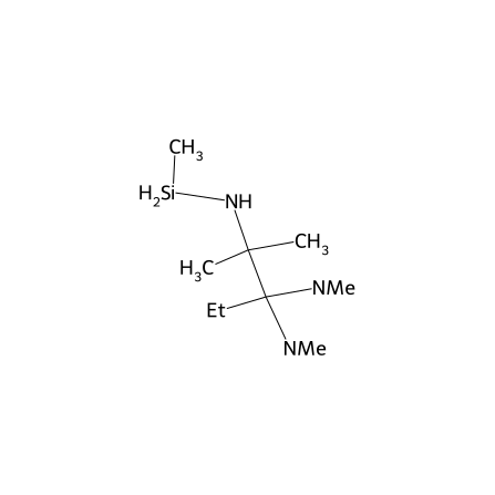 CCC(NC)(NC)C(C)(C)N[SiH2]C